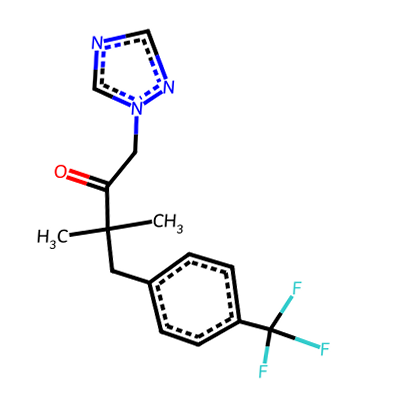 CC(C)(Cc1ccc(C(F)(F)F)cc1)C(=O)Cn1cncn1